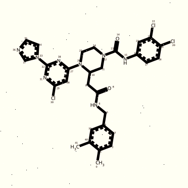 Cc1ccc(CNC(=O)CC2CN(C(=O)Nc3ccc(Cl)c(Cl)c3)CCN2c2cc(Cl)nc(-n3ccnc3)n2)cc1C